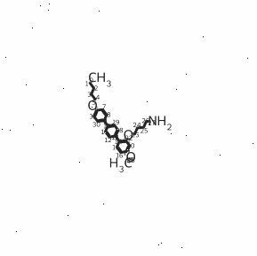 CCCCCOc1ccc(-c2ccc(-c3ccc(OC)cc3OCCCCN)cc2)cc1